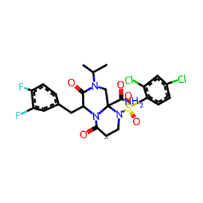 CC(C)N1CC2(C(N)=O)N(C(=O)[C]CN2S(=O)(=O)c2ccc(Cl)cc2Cl)C(Cc2ccc(F)c(F)c2)C1=O